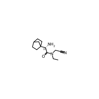 CCN(CC#N)C(=O)[C@@H](N)C12CCC(CC1)C2